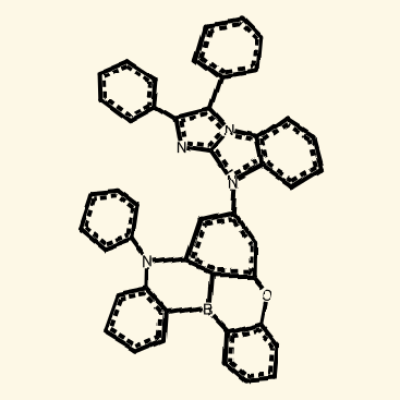 c1ccc(-c2nc3n(-c4cc5c6c(c4)N(c4ccccc4)c4ccccc4B6c4ccccc4O5)c4ccccc4n3c2-c2ccccc2)cc1